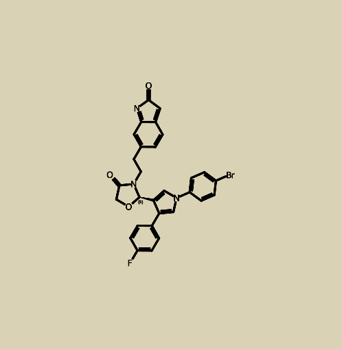 O=C1C=c2ccc(CCN3C(=O)CO[C@@H]3c3cn(-c4ccc(Br)cc4)cc3-c3ccc(F)cc3)cc2=N1